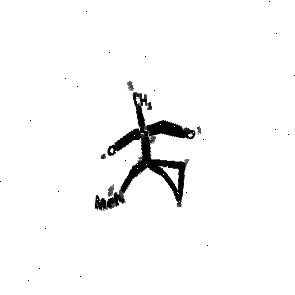 CNC1(S(C)(=O)=O)CC1